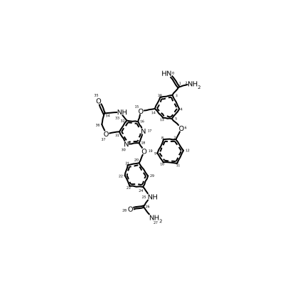 N=C(N)c1cc(Oc2ccccc2)cc(Oc2nc(Oc3cccc(NC(N)=O)c3)nc3c2NC(=O)CO3)c1